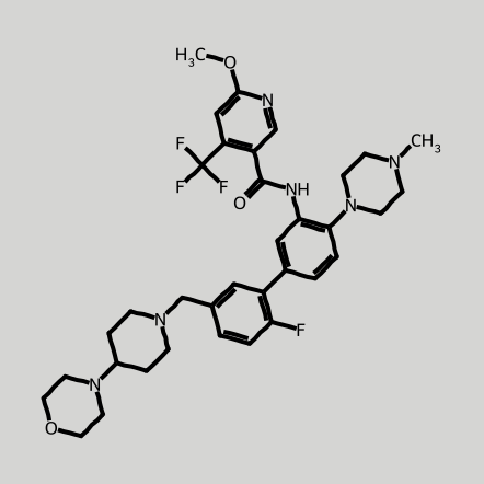 COc1cc(C(F)(F)F)c(C(=O)Nc2cc(-c3cc(CN4CCC(N5CCOCC5)CC4)ccc3F)ccc2N2CCN(C)CC2)cn1